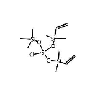 C=C[Si](C)(C)O[Si](Cl)(O[Si](C)(C)C)O[Si](C)(C)C=C